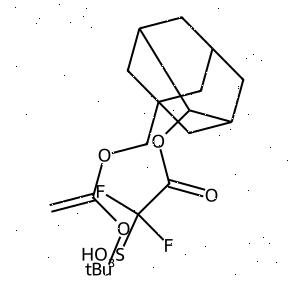 C=C(OCC12CC3CC(C1)C(OC(=O)C(F)(F)S(=O)(=O)O)C(C3)C2)OC(C)(C)C